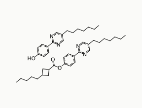 CCCCCCCc1cnc(-c2ccc(O)cc2)nc1.CCCCCCCc1cnc(-c2ccc(OC(=O)C3CC(CCCCC)C3)cc2)nc1